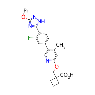 Cc1cc(OCC2(C(=O)O)CCC2)ncc1-c1ccc(-c2nc(OC(C)C)n[nH]2)c(F)c1